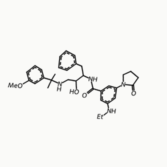 CCNc1cc(C(=O)NC(Cc2ccccc2)C(O)CNC(C)(C)c2cccc(OC)c2)cc(N2CCCC2=O)c1